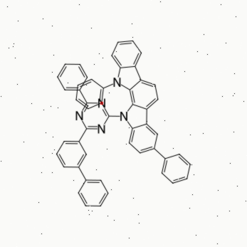 c1ccc(-c2cccc(-c3nc(-c4ccccc4)nc(-n4c5ccc(-c6ccccc6)cc5c5ccc6c7ccccc7n(-c7ccccc7)c6c54)n3)c2)cc1